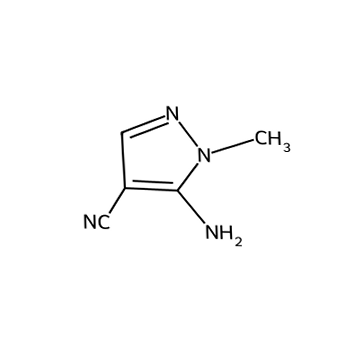 Cn1ncc(C#N)c1N